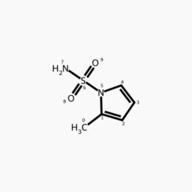 Cc1cccn1S(N)(=O)=O